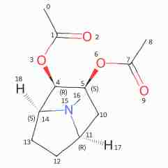 CC(=O)O[C@H]1[C@@H](OC(C)=O)C[C@H]2CC[C@@H]1N2C